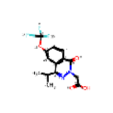 CC(C)c1nn(CC(=O)O)c(=O)c2ccc(OC(F)(F)F)cc12